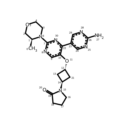 C[C@H]1COCCN1c1ncc(O[C@H]2C[C@H](N3CCCC3=O)C2)c(-c2cnc(N)nc2)n1